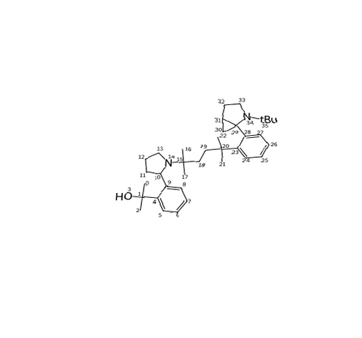 CC(C)(O)c1ccccc1C1CCCN1C(C)(C)CCC(C)(C)c1ccccc1C12CC1CCN2C(C)(C)C